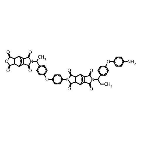 CCC(c1ccc(Oc2ccc(N)cc2)cc1)N1C(=O)C2C3C=CC(C4C(=O)N(c5ccc(Oc6ccc(C(C)N7C(=O)C8C9C=CC(C%10C(=O)OC(=O)C9%10)C8C7=O)cc6)cc5)C(=O)C34)C2C1=O